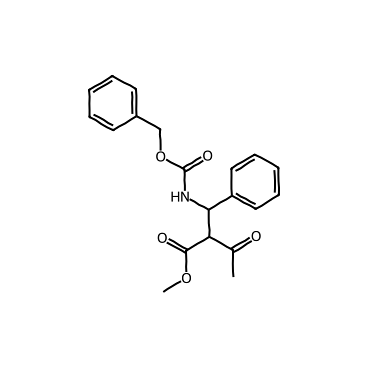 COC(=O)C(C(C)=O)C(NC(=O)OCc1ccccc1)c1ccccc1